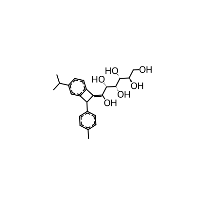 Cc1ccc(C2C(=C(O)[C@H](O)[C@@H](O)[C@H](O)[C@H](O)CO)c3ccc(C(C)C)cc32)cc1